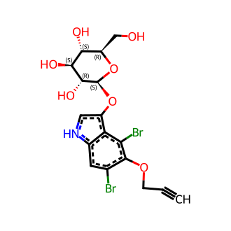 C#CCOc1c(Br)cc2[nH]cc(O[C@@H]3O[C@H](CO)[C@@H](O)[C@H](O)[C@H]3O)c2c1Br